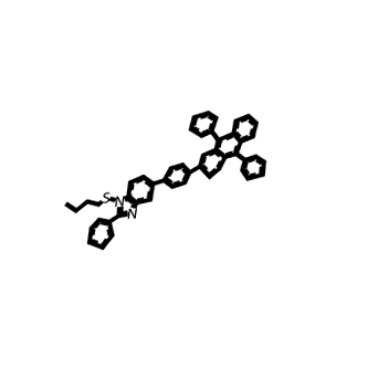 CCCCSn1c(-c2ccccc2)nc2cc(-c3ccc(-c4ccc5c(-c6ccccc6)c6ccccc6c(-c6ccccc6)c5c4)cc3)ccc21